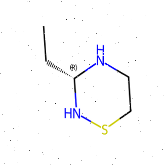 CC[C@@H]1NCCSN1